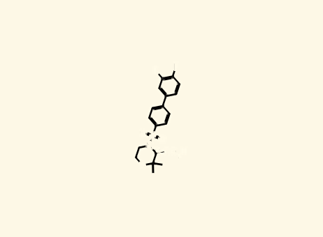 CC1(C)SCCN(S(=O)(=O)c2ccc(-c3ccc(F)c(F)c3)cc2)[C@H]1C(=O)O